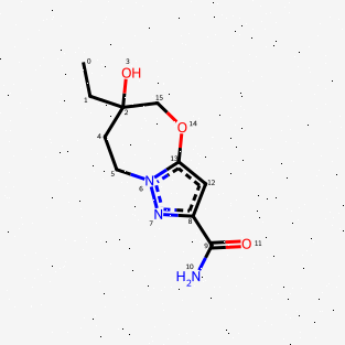 CCC1(O)CCn2nc(C(N)=O)cc2OC1